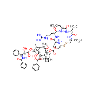 CC(=O)O[C@H]1C(=O)[C@@]2(C)C([C@H](OC(=O)c3ccccc3)[C@]3(O)C[C@H](OC(=O)[C@H](O)[C@@H](NC(=O)c4ccccc4)c4ccccc4)C(C)=C1C3(C)C)[C@]1(OC(C)=O)CC[C@@H]1C[C@@H]2OC(=O)OCCSSC[C@H](NC(=O)[C@H](CC(=O)O)NC(=O)[C@H](CC(=O)O)NC(=O)[C@H](CCCNC(=N)N)NC(=O)[C@@H](N)CC(=O)O)C(=O)O